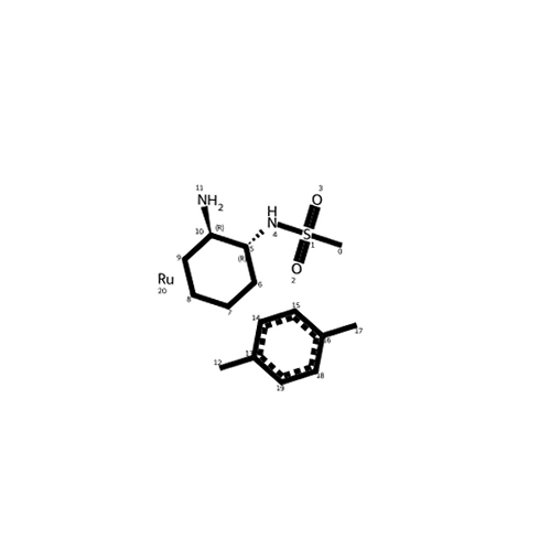 CS(=O)(=O)N[C@@H]1CCCC[C@H]1N.Cc1ccc(C)cc1.[Ru]